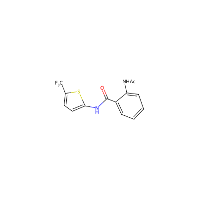 CC(=O)Nc1ccccc1C(=O)Nc1ccc(C(F)(F)F)s1